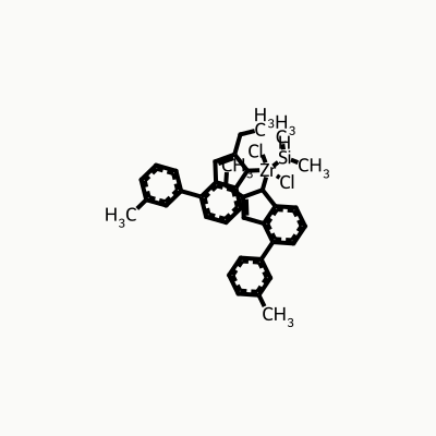 CCC1=Cc2c(-c3cccc(C)c3)cccc2[CH]1[Zr]([Cl])([Cl])([CH]1C(CC)=Cc2c(-c3cccc(C)c3)cccc21)[SiH](C)C